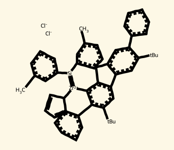 Cc1cccc([Si](c2cccc(C)c2)=[Zr+2]([c]2c3c(cc(C(C)(C)C)c2-c2ccccc2)-c2cc(C(C)(C)C)c(-c4ccccc4)cc2C3)[CH]2C=CC=C2)c1.[Cl-].[Cl-]